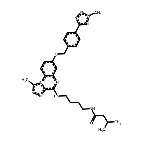 Cc1nnc2c(NCCCCNC(=O)CC(C)C)nc3cc(OCc4ccc(-c5nnn(C)n5)cc4)ccc3n12